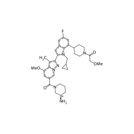 COCC(=O)N1CCC(c2cc(F)cc3cc(-c4nn5cc(C(=O)N6CCC[C@@H](N)C6)cc(OC)c5c4C)n(CC4CC4)c23)CC1